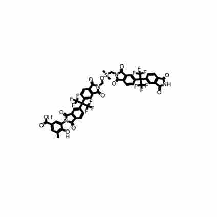 Cc1cc(C(=O)O)cc(N2C(=O)c3ccc(C(c4ccc5c(c4)C(=O)N(CO[Si](C)(C)CN4C(=O)c6ccc(C(c7ccc8c(c7)C(=O)NC8=O)(C(F)(F)F)C(F)(F)F)cc6C4=O)C5=O)(C(F)(F)F)C(F)(F)F)cc3C2=O)c1O